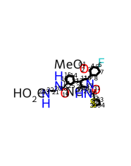 COCOc1cc(F)ccc1-c1cc(-c2cccc(C(=O)NCCNC(=O)O)c2)c(C#N)c(NC(=O)c2cccs2)n1